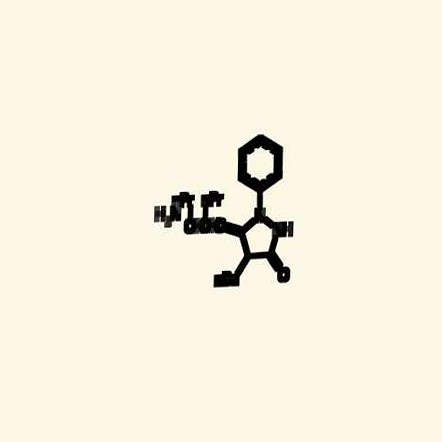 CCCCC1C(=O)NN(c2ccccc2)C1=O.CCCO.CCCO.N